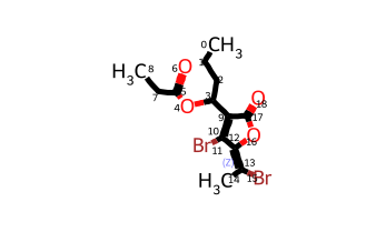 CCCC(OC(=O)CC)C1=C(Br)/C(=C(\C)Br)OC1=O